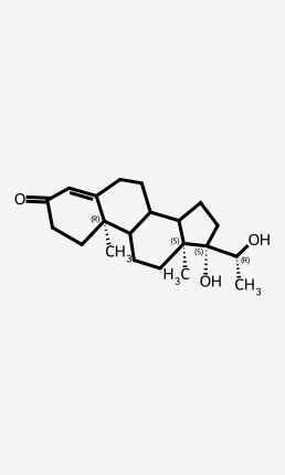 C[C@@H](O)[C@]1(O)CCC2C3CCC4=CC(=O)CC[C@]4(C)C3CC[C@@]21C